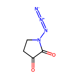 [N-]=[N+]=NN1CCC(=O)C1=O